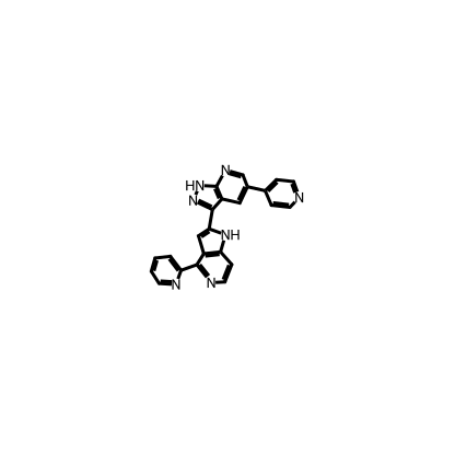 c1ccc(-c2nccc3[nH]c(-c4n[nH]c5ncc(-c6ccncc6)cc45)cc23)nc1